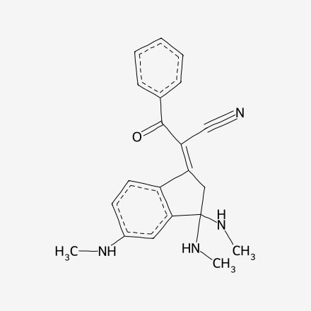 CNc1ccc2c(c1)C(NC)(NC)CC2=C(C#N)C(=O)c1ccccc1